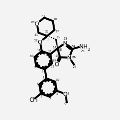 COc1cc(Cl)cc(-c2ccc3c(c2)[C@]2(C[C@]4(CCCOC4)O3)N=C(N)N(C)C2=O)c1